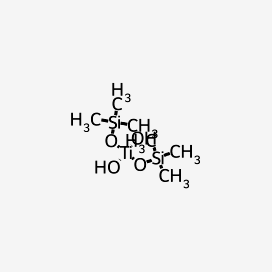 C[Si](C)(C)[O][Ti]([OH])([OH])[O][Si](C)(C)C